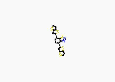 c1cc2sc(-c3ccc(-c4cc5sccc5s4)c4snnc34)cc2s1